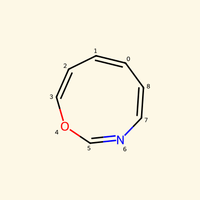 c1cccocncc1